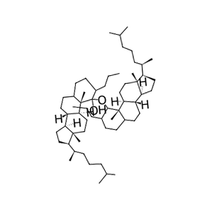 CCCC1CCC2CC[C@@H]3[C@H](CC[C@]4(C)[C@@H]([C@H](C)CCCC(C)C)CC[C@@H]34)[C@@]2(C)C1OC1(O)C(CCC)CCC2CC[C@H]3[C@@H]4CC[C@H]([C@H](C)CCCC(C)C)[C@@]4(C)CC[C@@H]3[C@]21C